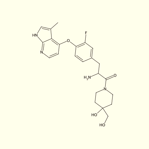 Cc1c[nH]c2nccc(Oc3ccc(CC(N)C(=O)N4CCC(O)(CO)CC4)cc3F)c12